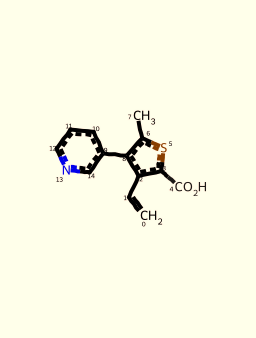 C=Cc1c(C(=O)O)sc(C)c1-c1cccnc1